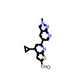 Cn1cc2cc(-c3cc(C4CC4)c4cc(C=O)sc4n3)cnc2n1